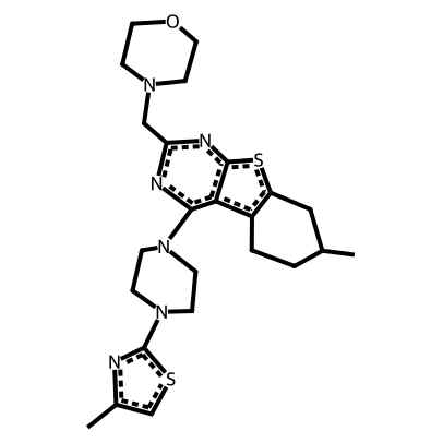 Cc1csc(N2CCN(c3nc(CN4CCOCC4)nc4sc5c(c34)CCC(C)C5)CC2)n1